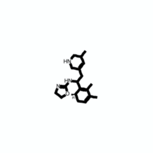 CC1=CC[C@@H](C)C(C(CC2=CC(C)CNC2)NC2=NCCO2)=C1C